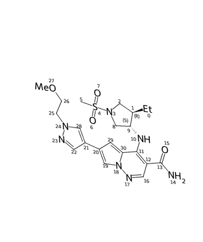 CC[C@@H]1CN(S(C)(=O)=O)C[C@H]1Nc1c(C(N)=O)cnn2cc(-c3cnn(CCOC)c3)cc12